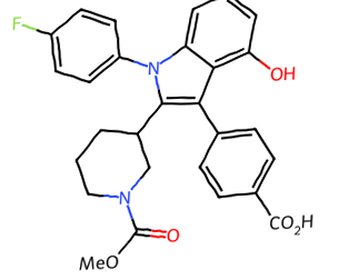 COC(=O)N1CCCC(c2c(-c3ccc(C(=O)O)cc3)c3c(O)cccc3n2-c2ccc(F)cc2)C1